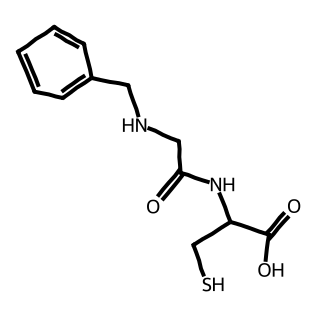 O=C(CNCc1ccccc1)NC(CS)C(=O)O